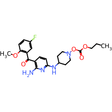 CCCOC(=O)ON1CCC(Nc2ccc(C(=O)c3cc(F)ccc3OC)c(N)n2)CC1